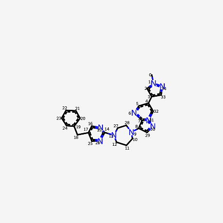 Cn1cc(-c2cnc3c(N4CCCN(c5ncc(Cc6ccccc6)cn5)CC4)cnn3c2)cn1